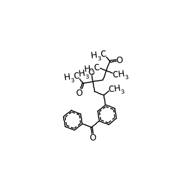 CC(=O)C(C)(C)CC(C)(CC(C)c1cccc(C(=O)c2ccccc2)c1)C(C)=O